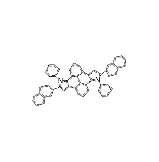 c1ccc(-n2c(-c3ccc4ccccc4c3)cc3c4cccc5c4c4c(cccc4c32)c2cc(-c3ccc4ccccc4c3)n(-c3ccccc3)c25)cc1